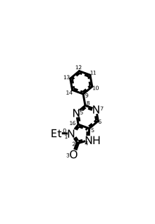 CCn1c(=O)[nH]c2cnc(-c3ccccc3)nc21